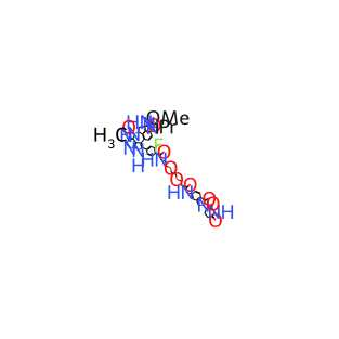 COC(=O)N[C@@H]1CC[C@@H](n2c(=O)n(C)c3cnc4[nH]c(-c5ccc(C(=O)NCCOCCOCCC(=O)Nc6ccc7c(c6)CN(C6CCC(=O)NC6=O)C7=O)c(F)c5)c(-c5ccc6c(cnn6C(C)C)c5)c4c32)C1